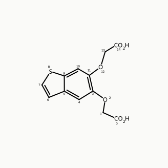 O=C(O)COc1cc2ccsc2cc1OCC(=O)O